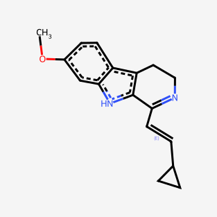 COc1ccc2c3c([nH]c2c1)C(/C=C/C1CC1)=NCC3